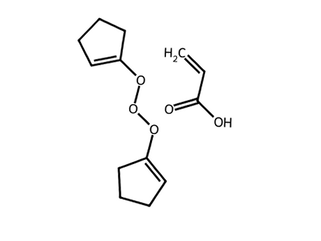 C1=C(OOOC2=CCCC2)CCC1.C=CC(=O)O